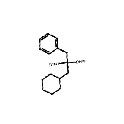 COC(Cc1ccccc1)(CC1CCCCC1)OC